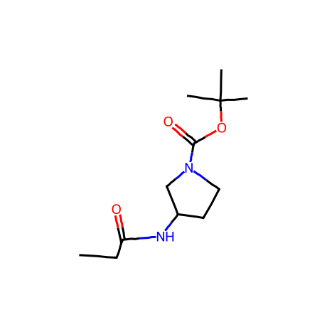 CCC(=O)NC1CCN(C(=O)OC(C)(C)C)C1